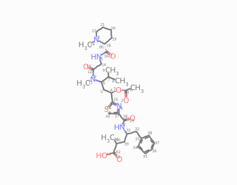 CC(=O)OC(CC(C(C)C)N(C)C(=O)CNC(=O)[C@H]1CCCCN1C)c1nc(C(=O)NC(Cc2ccccc2)CC(C)C(=O)O)cs1